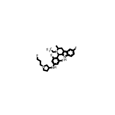 CC1Cc2c([nH]c3ccc(F)cc23)C(c2c(F)cc(NC3CCN(CCCF)C3)cc2F)N1CC(F)(F)F